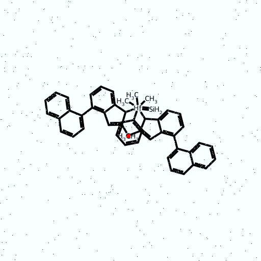 CC1=Cc2c(-c3cccc4ccccc34)cccc2[CH]1[Hf]([CH3])([CH3])([CH3])(=[SiH2])([c]1ccccc1)[CH]1C(C)=Cc2c(-c3cccc4ccccc34)cccc21